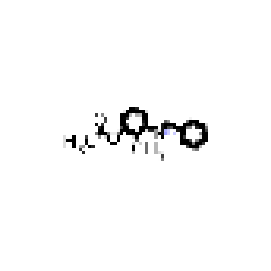 CC(=O)Oc1cccc(/N=C/c2ccccc2)c1C